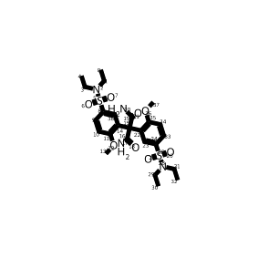 CCN(CC)S(=O)(=O)c1ccc(OC)c(C(C(N)=O)(C(N)=O)c2cc(S(=O)(=O)N(CC)CC)ccc2OC)c1